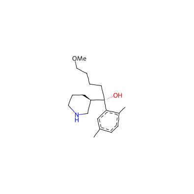 COCCCC[C@@](O)(c1cc(C)ccc1C)[C@@H]1CCCNC1